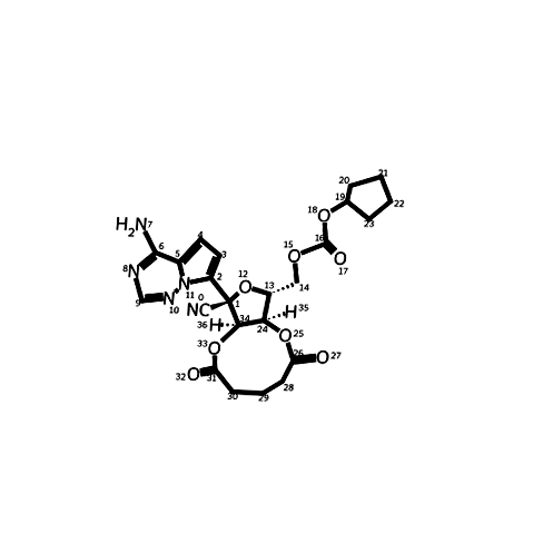 N#C[C@@]1(c2ccc3c(N)ncnn23)O[C@H](COC(=O)OC2CCCC2)[C@H]2OC(=O)CCCC(=O)O[C@H]21